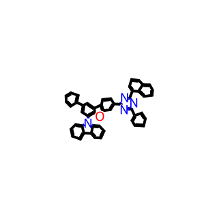 c1ccc(-c2cc(-n3c4ccccc4c4ccccc43)c3oc4cc(-c5nc(-c6ccccc6)nc(-c6cccc7ccccc67)n5)ccc4c3c2)cc1